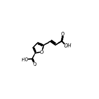 O=C(O)C=Cc1ccc(C(=O)O)o1